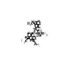 CCCN1C[C@@H](CN(C)S(=O)(=O)N(C)C[C@H]2C=C3c4cccc5[nH]c(C)c(c45)C[C@H]3N(CCC)C2)C=C2c3cccc4[nH]c(C)c(c34)C[C@H]21